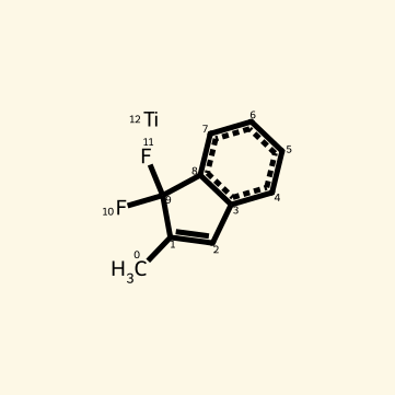 CC1=Cc2ccccc2C1(F)F.[Ti]